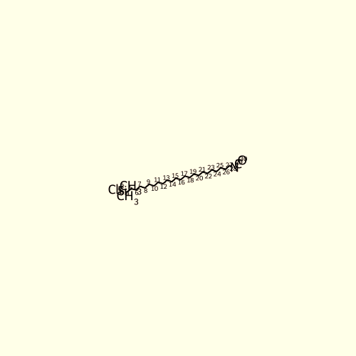 C[Si](C)(Cl)CCCCCCCCCCCCCCCCCCCCCCCCN=C=O